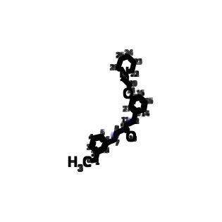 CCc1cccc(/C=C/C(=O)/C=C/c2cccc(OCCN3CCCCC3)c2)c1